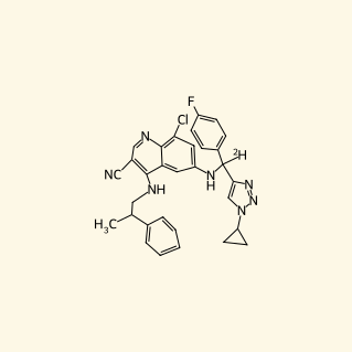 [2H]C(Nc1cc(Cl)c2ncc(C#N)c(NCC(C)c3ccccc3)c2c1)(c1ccc(F)cc1)c1cn(C2CC2)nn1